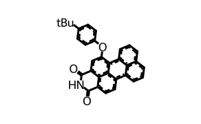 CC(C)(C)c1ccc(Oc2cc3c4c(ccc5c6cccc7cccc(c2c45)c76)C(=O)NC3=O)cc1